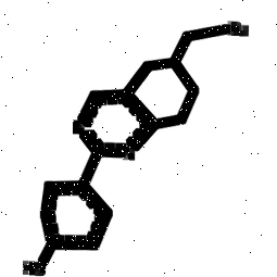 CCC(C)CC1CCc2nc(-c3ccc(O)cc3)ncc2C1